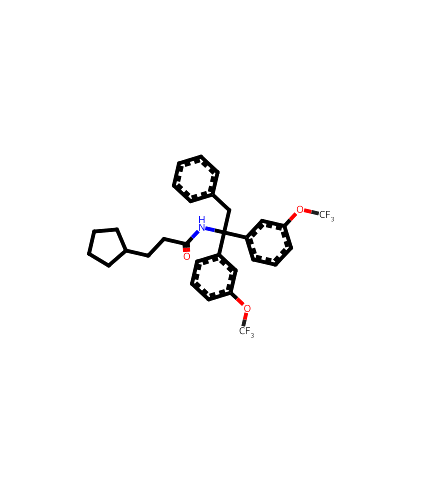 O=C(CCC1CCCC1)NC(Cc1ccccc1)(c1cccc(OC(F)(F)F)c1)c1cccc(OC(F)(F)F)c1